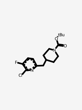 CC(C)(C)OC(=O)N1CCC(Cc2ccc(F)c(Cl)n2)CC1